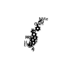 CCC(=O)O[C@]1(C(=O)SCF)CC[C@H]2[C@@H]3CCC4=Cc5c(cnn5-c5cccc(C(=O)NCC(=O)NC)c5)C[C@]4(C)[C@@]3(F)[C@@H](O)C[C@@]21C